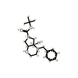 CC(C)(C)OC(=O)N1CC2OCCN(Cc3ccccc3)[C@H]2C1